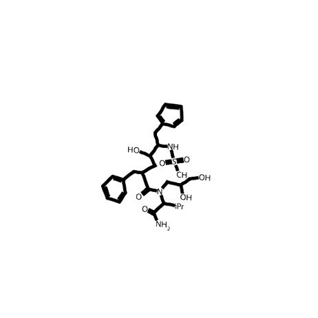 CC(C)C(C(N)=O)N(CC(O)CO)C(=O)C(Cc1ccccc1)CC(O)C(Cc1ccccc1)NS(C)(=O)=O